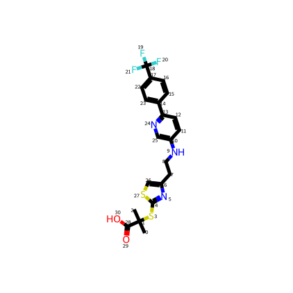 CC(C)(Sc1nc(CCNc2ccc(-c3ccc(C(F)(F)F)cc3)nc2)cs1)C(=O)O